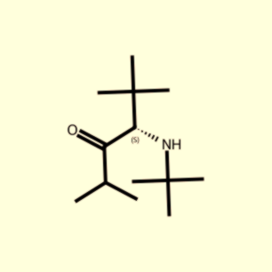 CC(C)C(=O)[C@@H](NC(C)(C)C)C(C)(C)C